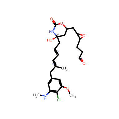 CNc1cc(C/C(C)=C/C=C/C[C@@]2(O)CC(CC3OC3CCC=O)OC(=O)N2)cc(OC)c1Cl